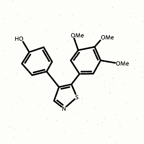 COc1cc(-c2sncc2-c2ccc(O)cc2)cc(OC)c1OC